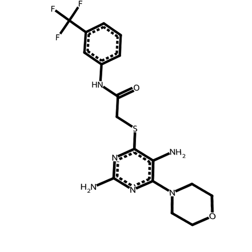 Nc1nc(SCC(=O)Nc2cccc(C(F)(F)F)c2)c(N)c(N2CCOCC2)n1